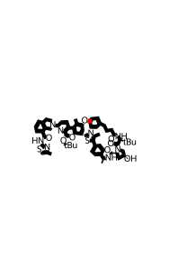 Cc1csc(NC(=O)c2cccc3c2CN(c2ccc(-c4cccc(Oc5ccc(CCCC(=O)N[C@H](C(=O)N6C[C@H](O)C[C@H]6C(=O)N[C@@H](C)c6ccc(-c7scnc7C)cc6)C(C)(C)C)cc5)c4C)c(C(=O)OC(C)(C)C)n2)CC3)n1